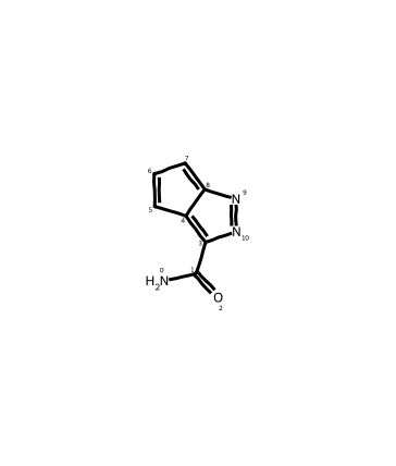 NC(=O)C1=C2C=CC=C2N=N1